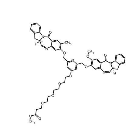 COC(=O)CCOCCOCCOCCOc1cc(COc2cc3c(cc2C)C(=O)N2c4ccccc4C[C@H]2C=N3)nc(COc2cc3c(cc2OC)C(=O)N2c4ccccc4C[C@H]2C=N3)c1